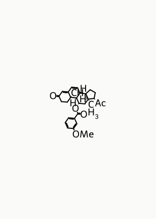 COc1cccc(C(=O)O[C@H]2C[C@]3(C)[C@@H](C(C)=O)CC[C@H]3[C@@H]3C=CC4=CC(=O)CC[C@@]4(C)[C@@H]32)c1